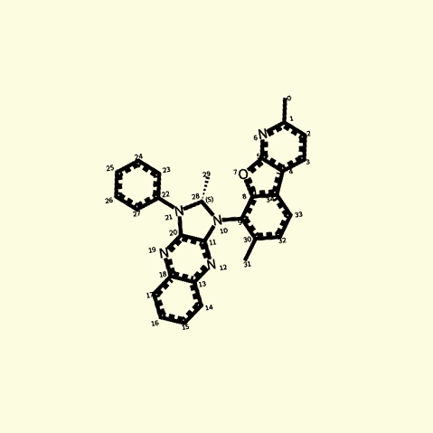 Cc1ccc2c(n1)oc1c(N3c4nc5ccccc5nc4N(c4ccccc4)[C@@H]3C)c(C)ccc12